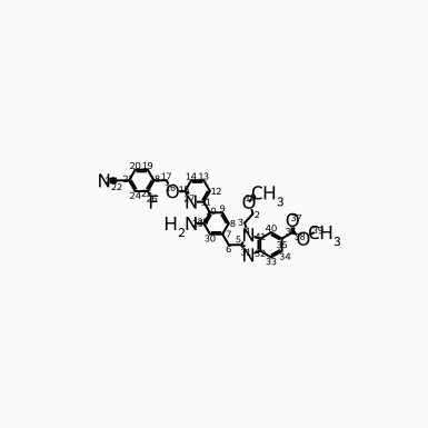 COCCn1c(Cc2ccc(-c3cccc(OCc4ccc(C#N)cc4F)n3)c(N)c2)nc2ccc(C(=O)OC)cc21